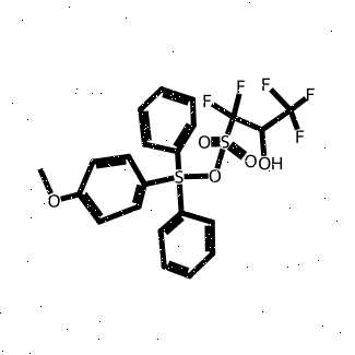 COc1ccc(S(OS(=O)(=O)C(F)(F)C(O)C(F)(F)F)(c2ccccc2)c2ccccc2)cc1